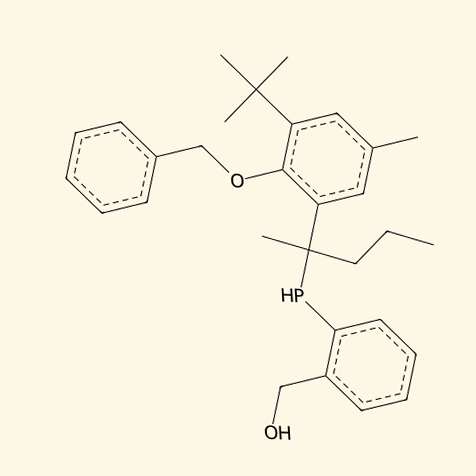 CCCC(C)(Pc1ccccc1CO)c1cc(C)cc(C(C)(C)C)c1OCc1ccccc1